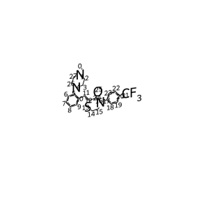 CN1CCN(c2ccccc2C=C2SCCN(c3ccc(C(F)(F)F)cc3)C2=O)CC1